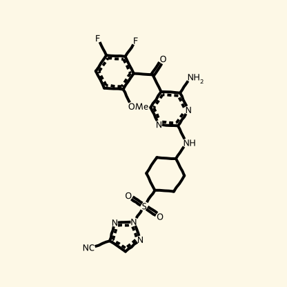 COc1ccc(F)c(F)c1C(=O)c1cnc(NC2CCC(S(=O)(=O)n3ncc(C#N)n3)CC2)nc1N